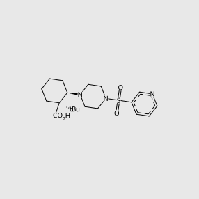 CC(C)(C)[C@]1(C(=O)O)CCCC[C@H]1N1CCN(S(=O)(=O)c2cccnc2)CC1